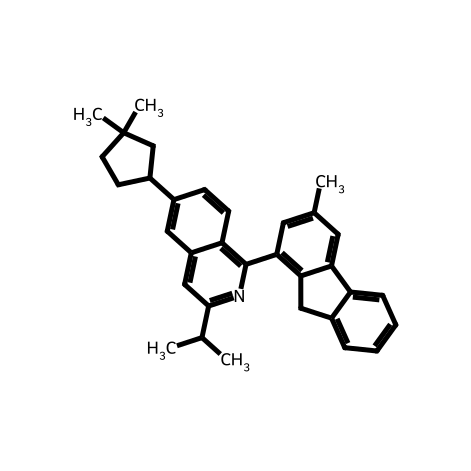 Cc1cc2c(c(-c3nc(C(C)C)cc4cc(C5CCC(C)(C)C5)ccc34)c1)Cc1ccccc1-2